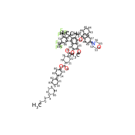 CCCCC[C@H]1CC[C@H](c2ccc(-c3ccc(OC(=O)[C@H]4CC[C@H](C(=O)Oc5cc6c7c(c8c(c6cc5OC)OC(c5ccccc5)(c5ccc(N6CCOCC6)cc5)C=C8)C(C)(C)c5c-7cc(C(F)(F)F)cc5C(F)(F)F)CC4)cc3)cc2)CC1